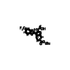 CC(O)Nc1sc2c(c1-c1nc3cc(C(F)(F)F)ccc3s1)CCN(C(=O)OC(C)(C)C)C2